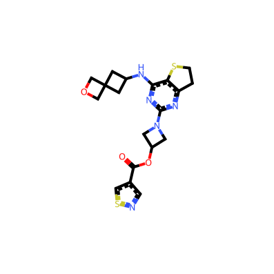 O=C(OC1CN(c2nc3c(c(NC4CC5(COC5)C4)n2)SCC3)C1)c1cnsc1